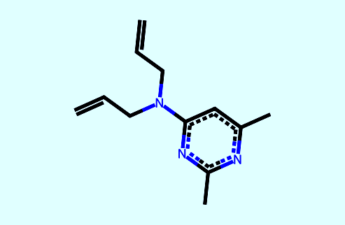 C=CCN(CC=C)c1cc(C)nc(C)n1